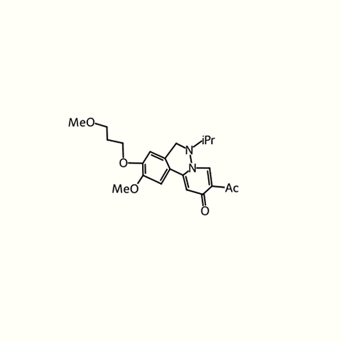 COCCCOc1cc2c(cc1OC)-c1cc(=O)c(C(C)=O)cn1N(C(C)C)C2